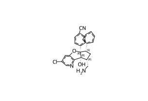 N#Cc1ccc([C@@]23Oc4cc(Cl)cnc4[C@]2(O)[C@@H](CN)C[C@H]3c2ccccc2)cc1